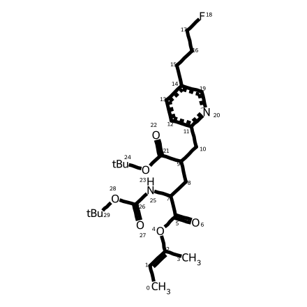 C/C=C(\C)OC(=O)C(CC(Cc1ccc(CCCF)cn1)C(=O)OC(C)(C)C)NC(=O)OC(C)(C)C